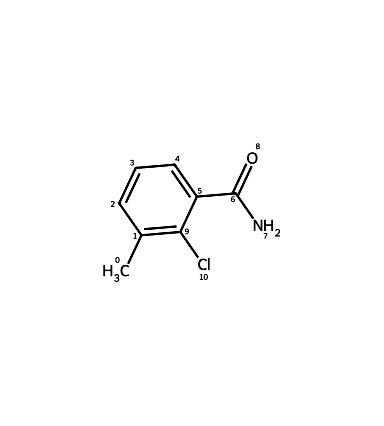 Cc1cccc(C(N)=O)c1Cl